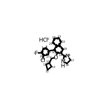 Cl.Fc1ccc(-c2c(OCC3CCC3)c(C3=NCCN3)cc3ccccc23)cc1Cl